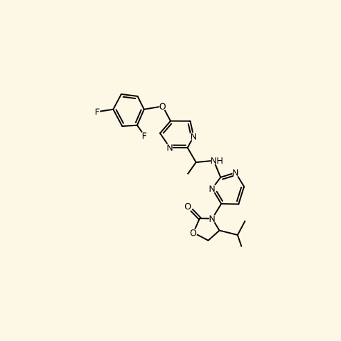 CC(Nc1nccc(N2C(=O)OCC2C(C)C)n1)c1ncc(Oc2ccc(F)cc2F)cn1